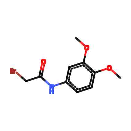 COc1ccc(NC(=O)CBr)cc1OC